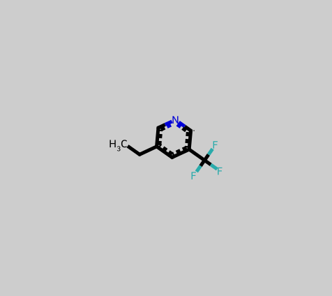 CCc1cn[c]c(C(F)(F)F)c1